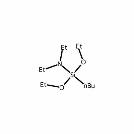 CCCC[Si](OCC)(OCC)N(CC)CC